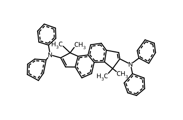 CC1(C)C(N(c2ccccc2)c2ccccc2)=Cc2ccc3c4c(ccc3c21)C=C(N(c1ccccc1)c1ccccc1)C4(C)C